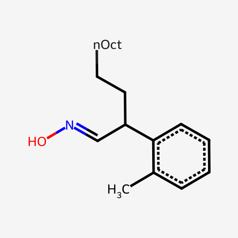 CCCCCCCCCCC(C=NO)c1ccccc1C